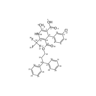 CC1=C(C(=O)O)C(c2cccc(Cl)c2)C(C(=O)OCCC(c2ccccc2)c2ccccc2)=C(C(F)(F)F)N1